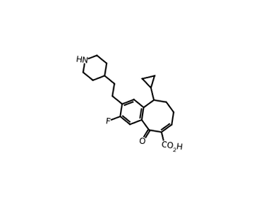 O=C(O)/C1=C/CCC(C2CC2)c2cc(CCC3CCNCC3)c(F)cc2C1=O